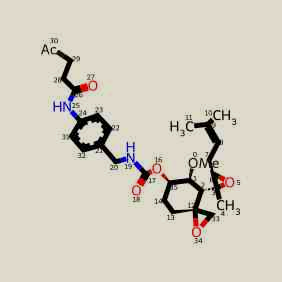 CO[C@H]1[C@H](C2(C)O[C@@H]2CC=C(C)C)[C@]2(CC[C@H]1OC(=O)NCc1ccc(NC(=O)CCC(C)=O)cc1)CO2